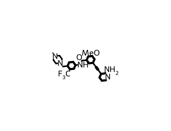 COc1ccc(C#Cc2cccnc2N)cc1C(=O)Nc1ccc(CN2CCN(C)CC2)c(C(F)(F)F)c1